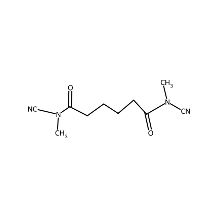 CN(C#N)C(=O)CCCCC(=O)N(C)C#N